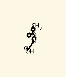 Cc1ccc(C(OC2CCN(CCCCCC(=O)O)CC2)c2ccccc2)cc1